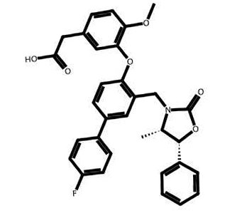 COc1ccc(CC(=O)O)cc1Oc1ccc(-c2ccc(F)cc2)cc1CN1C(=O)O[C@H](c2ccccc2)[C@@H]1C